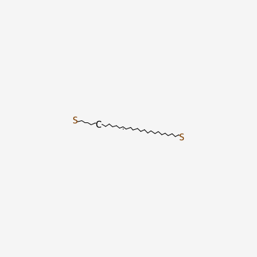 S=CCCCCCCCCCCCCC[CH]CCCCCCCCCCCCCCC=S